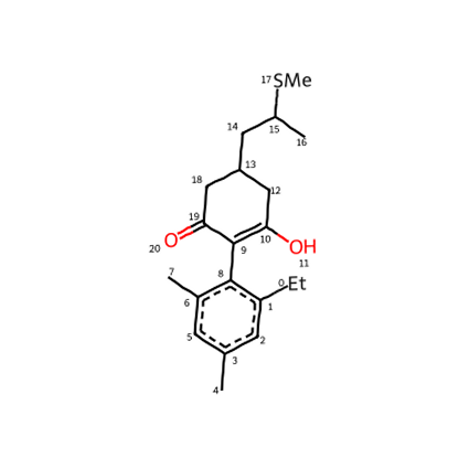 CCc1cc(C)cc(C)c1C1=C(O)CC(CC(C)SC)CC1=O